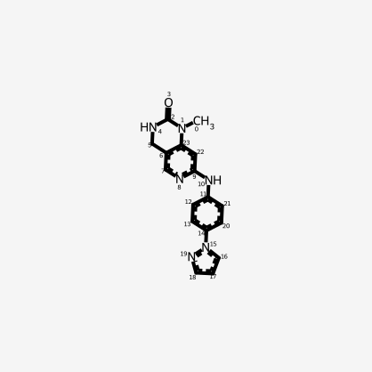 CN1C(=O)NCc2cnc(Nc3ccc(-n4cccn4)cc3)cc21